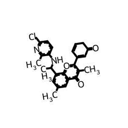 Cc1cc(C(C)Nc2ccc(Cl)nc2C)c2oc(C3=CC(=O)CC=C3)c(C)c(=O)c2c1